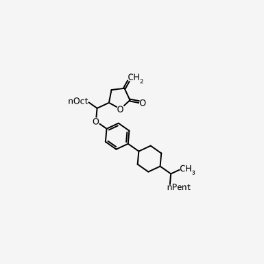 C=C1CC(C(CCCCCCCC)Oc2ccc(C3CCC(C(C)CCCCC)CC3)cc2)OC1=O